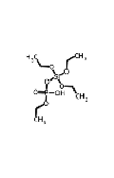 CCO[Si](OCC)(OCC)OP(=O)(O)OCC